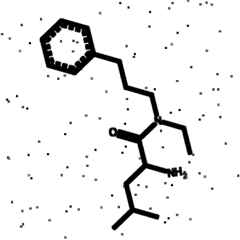 CCN(CCCc1ccccc1)C(=O)C(N)CC(C)C